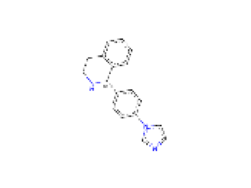 c1ccc2c(c1)CCN[C@H]2c1ccc(-n2ccnc2)cc1